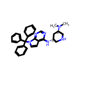 CN(C)[C@H]1CNC[C@H](Nc2ncnc3c2ccn3C(c2ccccc2)(c2ccccc2)c2ccccc2)C1